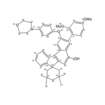 COc1ccc(-c2cc3c(O)cc4c(c3cc2Oc2ccc(N3CCOCC3)cc2)-c2ccccc2C42CC(C)(C)CC(C)(C)C2)c(OC)c1